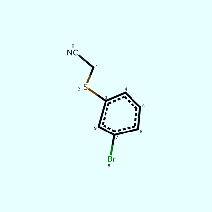 N#CCSc1cccc(Br)c1